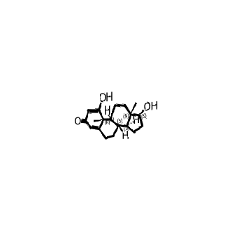 C[C@]12C(O)=CC(=O)C=C1CC[C@@H]1[C@@H]2CC[C@]2(C)[C@@H](O)CC[C@@H]12